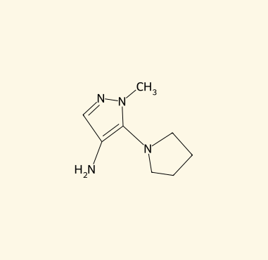 Cn1ncc(N)c1N1CCCC1